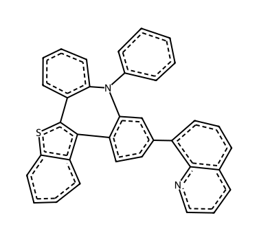 c1ccc(N2c3ccccc3-c3sc4ccccc4c3-c3ccc(-c4cccc5cccnc45)cc32)cc1